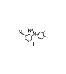 Cc1ccc(-n2c[n+](C)c3c(C#N)cccc32)cc1C.[I-]